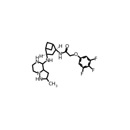 CC1CC2C(N[C@@H]3C[C@H](NC(=O)COc4cc(F)c(F)c(F)c4)C4CC3C4)NCCN2N1